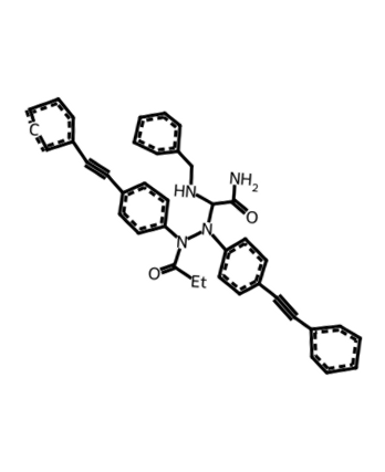 CCC(=O)N(c1ccc(C#Cc2ccccc2)cc1)N(c1ccc(C#Cc2ccccc2)cc1)C(NCc1ccccc1)C(N)=O